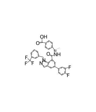 C[C@H](NC(=O)c1cc(-c2ccc(F)c(F)c2)cc2cnn(Cc3cccc(C(F)(F)F)c3)c12)c1ccc(C(=O)O)cc1